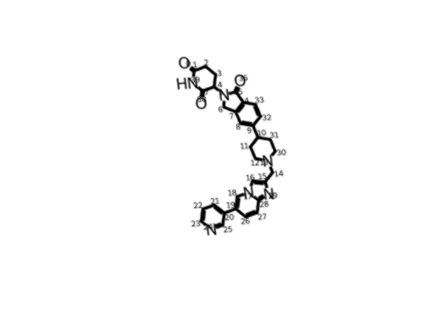 O=C1CCC(N2Cc3cc(C4CCN(Cc5cn6cc(-c7cccnc7)ccc6n5)CC4)ccc3C2=O)C(=O)N1